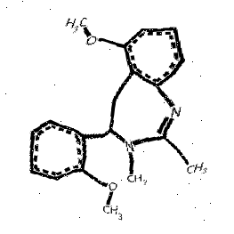 COc1ccccc1C1Cc2c(cccc2OC)N=C(C)N1C